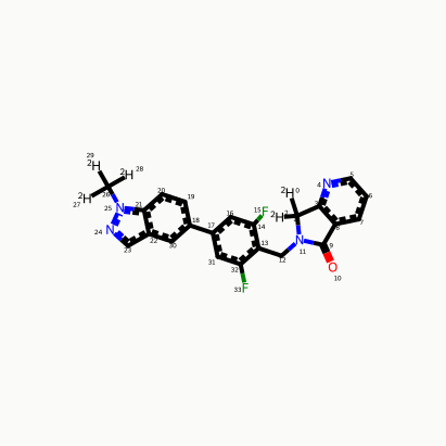 [2H]C1([2H])c2ncccc2C(=O)N1Cc1c(F)cc(-c2ccc3c(cnn3C([2H])([2H])[2H])c2)cc1F